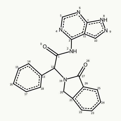 O=C(Nc1ncnc2[nH]ncc12)C(c1ccccc1)N1Cc2ccccc2C1=O